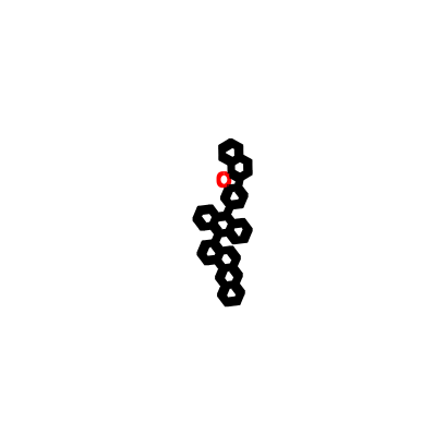 c1ccc2cc3c(ccc4c(-c5c6ccccc6c(-c6ccc7c(c6)oc6c8ccccc8ccc76)c6ccccc56)cccc43)cc2c1